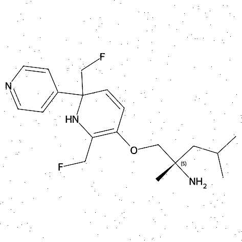 CC(C)C[C@](C)(N)COC1=C(CF)NC(CF)(c2ccncc2)C=C1